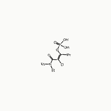 CCN(CC)C(=O)C(Cl)=C(OP(=O)(O)O)C(C)C